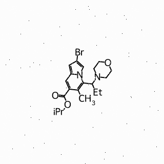 CCC(c1c(C)c(C(=O)OC(C)C)cc2cc(Br)cn12)N1CCOCC1